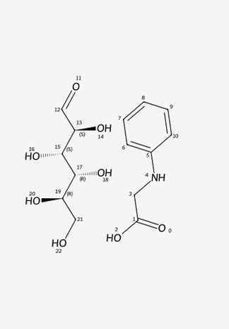 O=C(O)CNc1ccccc1.O=C[C@@H](O)[C@@H](O)[C@H](O)[C@H](O)CO